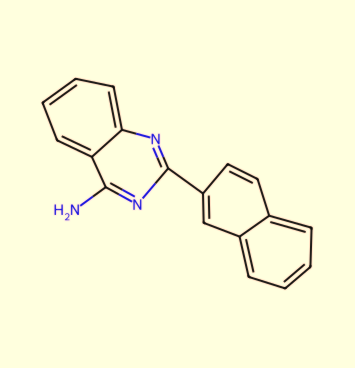 Nc1nc(-c2ccc3ccccc3c2)nc2ccccc12